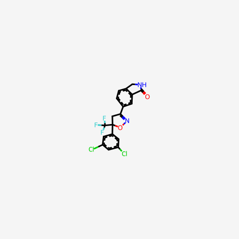 O=C1NCc2ccc(C3=NOC(c4cc(Cl)cc(Cl)c4)(C(F)(F)F)C3)cc21